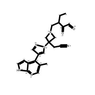 CCC(CN1CC(CC#N)(n2cc(-c3c(C)cnc4[nH]ccc34)cn2)C1)C(=O)C=O